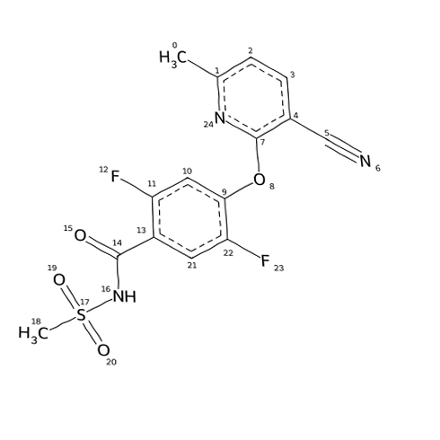 Cc1ccc(C#N)c(Oc2cc(F)c(C(=O)NS(C)(=O)=O)cc2F)n1